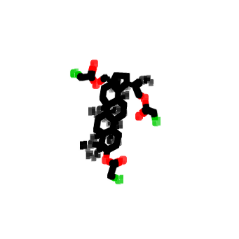 C=C(COC(=O)CCl)[C@@H]1CC[C@]2(COC(=O)CCl)CC[C@]3(C)[C@H](CC[C@@H]4[C@@]5(C)CCC(OC(=O)CCl)C(C)(C)[C@@H]5CC[C@]43C)[C@@H]12